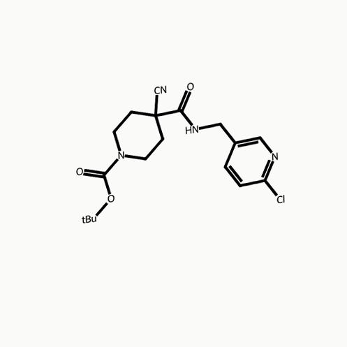 CC(C)(C)OC(=O)N1CCC(C#N)(C(=O)NCc2ccc(Cl)nc2)CC1